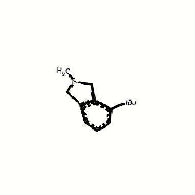 CN1Cc2cccc(C(C)(C)C)c2C1